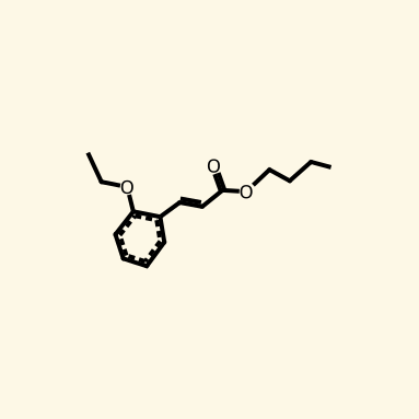 CCCCOC(=O)C=Cc1ccccc1OCC